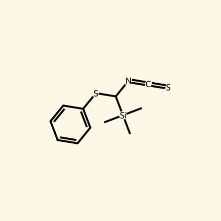 C[Si](C)(C)C(N=C=S)Sc1ccccc1